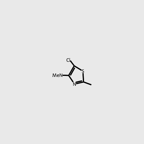 CNc1nc(C)sc1Cl